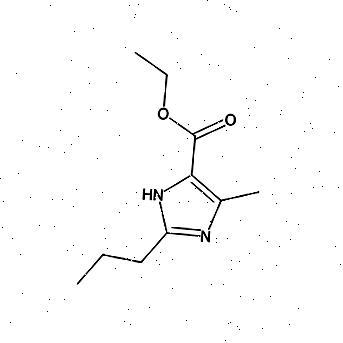 CCCc1nc(C)c(C(=O)OCC)[nH]1